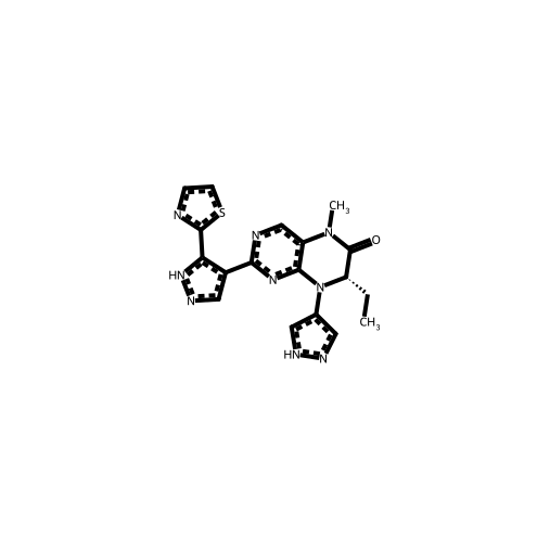 CC[C@H]1C(=O)N(C)c2cnc(-c3cn[nH]c3-c3nccs3)nc2N1c1cn[nH]c1